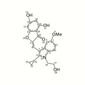 COc1ccc2c(c1)c(C=C1Oc3cc(O)cc(O)c3C1=O)c(C1CC1)n2CCO